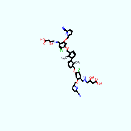 Cc1c(COc2cc(OCc3cccc(C#N)n3)c(CNCC(O)CC(=O)O)cc2Cl)cccc1-c1cccc(COc2cc(OCc3cccc(C#N)n3)c(CNCC(O)CC(=O)O)cc2Cl)c1C